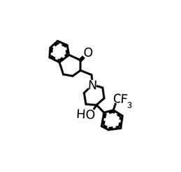 O=C1c2ccccc2CCC1CN1CCC(O)(c2ccccc2C(F)(F)F)CC1